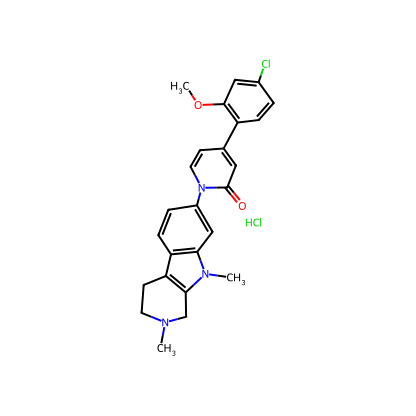 COc1cc(Cl)ccc1-c1ccn(-c2ccc3c4c(n(C)c3c2)CN(C)CC4)c(=O)c1.Cl